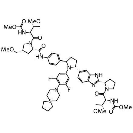 COC[C@H]1C[C@@H](C(=O)Nc2ccc([C@H]3CC[C@H](c4ccc5nc([C@@H]6CCCN6C(=O)[C@@H](NC(=O)OC)[C@@H](C)OC)[nH]c5c4)N3c3cc(F)c(N4CCS5(CCCC5)CC4)c(F)c3)cc2)N(C(=O)[C@@H](NC(=O)OC)[C@@H](C)OC)C1